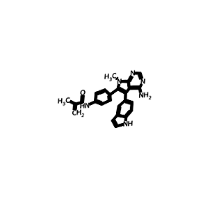 C=C(C)C(=O)Nc1ccc(-c2c(-c3ccc4[nH]ccc4c3)c3c(N)ncnc3n2C)cc1